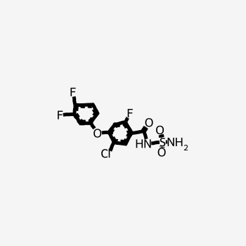 NS(=O)(=O)NC(=O)c1cc(Cl)c(Oc2ccc(F)c(F)c2)cc1F